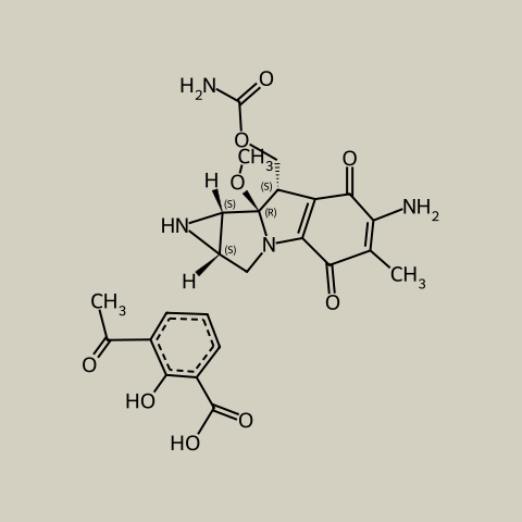 CC(=O)c1cccc(C(=O)O)c1O.CO[C@@]12[C@H](COC(N)=O)C3=C(C(=O)C(C)=C(N)C3=O)N1C[C@@H]1N[C@@H]12